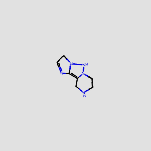 C1=NC2=C3CNCCN3NN2C1